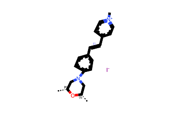 C[C@@H]1CN(c2ccc(/C=C/c3cc[n+](C)cc3)cc2)C[C@H](C)O1.[I-]